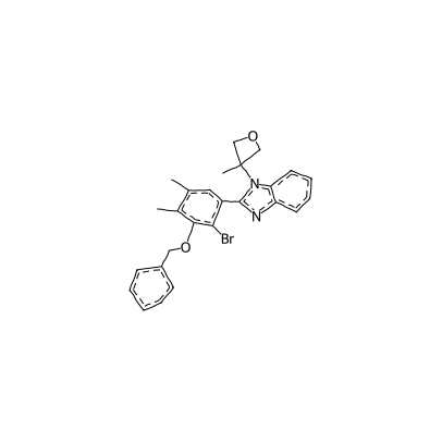 Cc1cc(-c2nc3ccccc3n2C2(C)COC2)c(Br)c(OCc2ccccc2)c1C